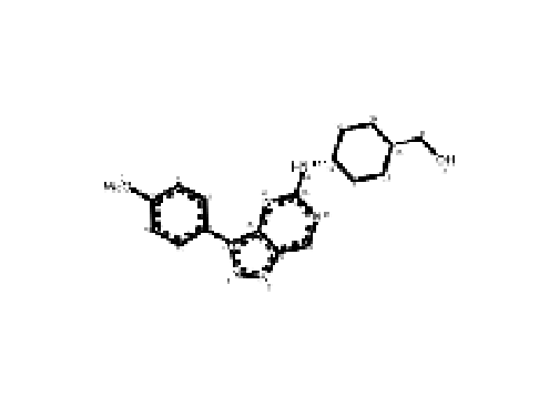 COc1ccc(-n2nnc3cnc(N[C@H]4CC[C@H](CO)CC4)nc32)cc1